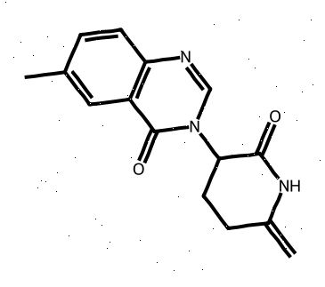 C=C1CCC(n2cnc3ccc(C)cc3c2=O)C(=O)N1